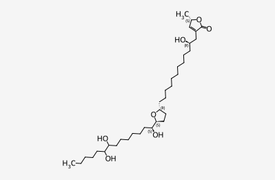 CCCCCC(O)C(O)CCCCCC[C@H](O)[C@@H]1CC[C@@H](CCCCCCCCCC[C@@H](O)CC2=C[C@H](C)OC2=O)O1